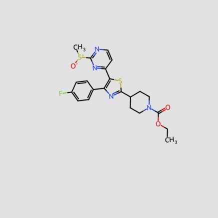 CCOC(=O)N1CCC(c2nc(-c3ccc(F)cc3)c(-c3ccnc([S+](C)[O-])n3)s2)CC1